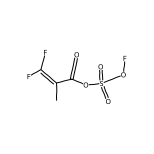 CC(C(=O)OS(=O)(=O)OF)=C(F)F